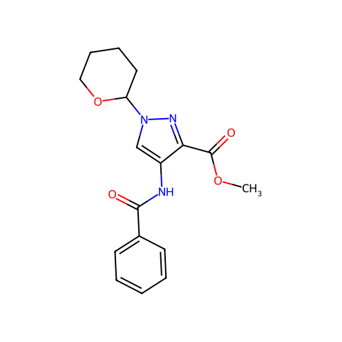 COC(=O)c1nn(C2CCCCO2)cc1NC(=O)c1ccccc1